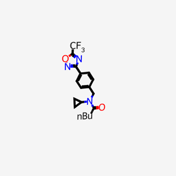 CCCCC(=O)N(Cc1ccc(-c2noc(C(F)(F)F)n2)cc1)C1CC1